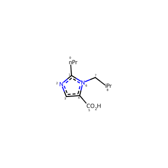 CCCc1ncc(C(=O)O)n1CC(C)C